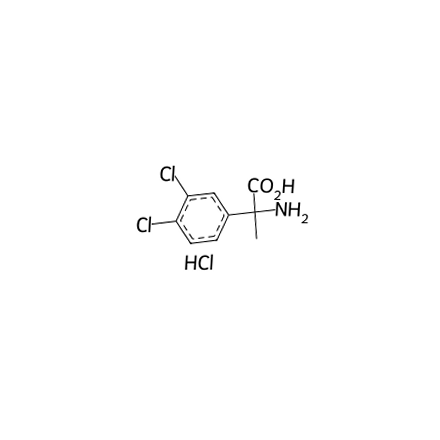 CC(N)(C(=O)O)c1ccc(Cl)c(Cl)c1.Cl